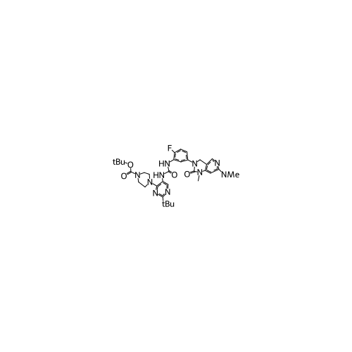 CNc1cc2c(cn1)CN(c1ccc(F)c(NC(=O)Nc3cnc(C(C)(C)C)nc3N3CCN(C(=O)OC(C)(C)C)CC3)c1)C(=O)N2C